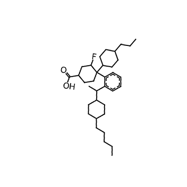 CCCCCC1CCC(C(C)c2ccccc2C2(C3CCC(CCC)CC3)CCC(C(=O)O)CC2F)CC1